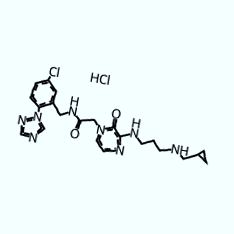 Cl.O=C(Cn1ccnc(NCCCNCC2CC2)c1=O)NCc1cc(Cl)ccc1-n1cncn1